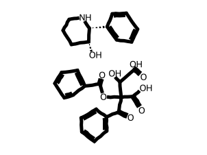 O=C(OC(C(=O)O)(C(=O)c1ccccc1)C(O)C(=O)O)c1ccccc1.O[C@@H]1CCCN[C@@H]1c1ccccc1